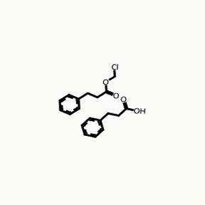 O=C(CCc1ccccc1)OCCl.O=C(O)CCc1ccccc1